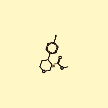 COC(=O)[C@@H]1COCCC1c1ccc(F)cc1